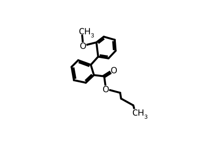 CCCCOC(=O)c1ccccc1-c1ccccc1OC